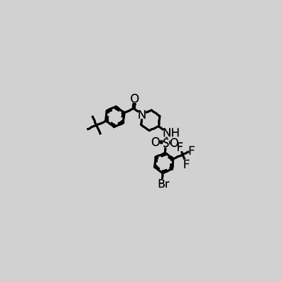 CC(C)(C)c1ccc(C(=O)N2CCC(NS(=O)(=O)c3ccc(Br)cc3C(F)(F)F)CC2)cc1